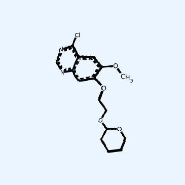 COc1cc2c(Cl)ncnc2cc1OCCOC1CCCCO1